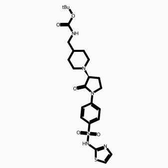 CC(C)(C)OC(=O)NCC1CCN([C@H]2CCN(c3ccc(S(=O)(=O)Nc4nccs4)cc3)C2=O)CC1